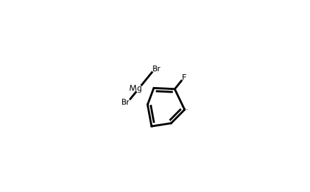 Fc1[c]cccc1.[Br][Mg][Br]